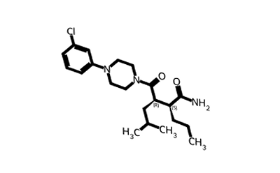 CCC[C@H](C(N)=O)[C@@H](CC(C)C)C(=O)N1CCN(c2cccc(Cl)c2)CC1